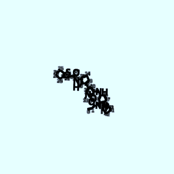 C=CC(=O)Nc1cc(Nc2cc(-c3cccc(NC(=O)c4cc5c(s4)CCCC5)c3C)cn(C)c2=O)ccc1-n1cccn1